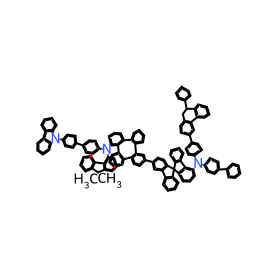 CC1(C)c2ccccc2-c2c(N(c3ccc(-c4ccc(-n5c6ccccc6c6ccccc65)cc4)cc3)c3cccc4c3-c3ccccc3-c3ccc(-c5ccc6c(c5)-c5ccccc5C65c6ccccc6-c6c(N(c7ccc(-c8ccccc8)cc7)c7ccc(-c8ccc9c(c8)-c8ccccc8C(c8ccccc8)C9)cc7)cccc65)cc3-c3ccccc3-4)cccc21